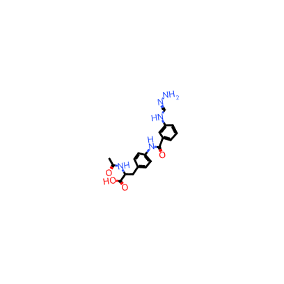 CC(=O)NC(Cc1ccc(NC(=O)c2cccc(NC=NN)c2)cc1)C(=O)O